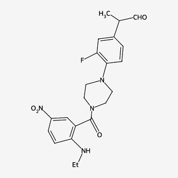 CCNc1ccc([N+](=O)[O-])cc1C(=O)N1CCN(c2ccc(C(C)C=O)cc2F)CC1